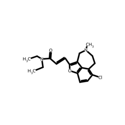 CCN(CC)C(=O)/C=C/c1oc2ccc(Cl)c3c2c1CN(C)CC3